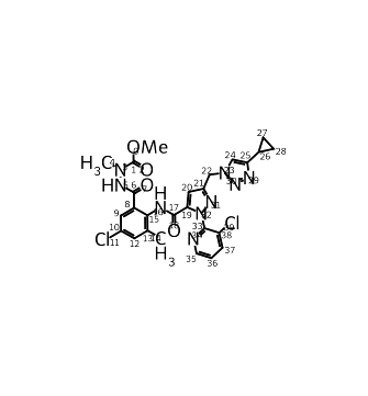 COC(=O)N(C)NC(=O)c1cc(Cl)cc(C)c1NC(=O)c1cc(Cn2cc(C3CC3)nn2)nn1-c1ncccc1Cl